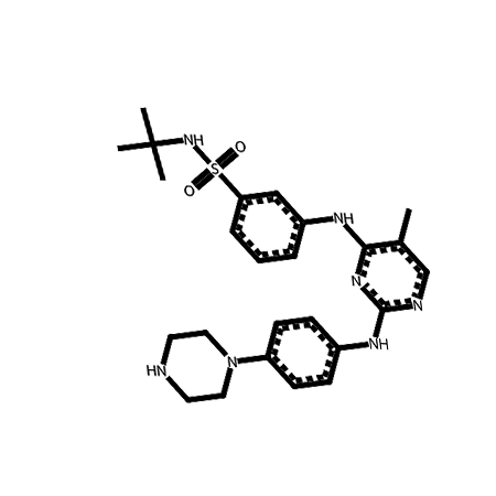 Cc1cnc(Nc2ccc(N3CCNCC3)cc2)nc1Nc1cccc(S(=O)(=O)NC(C)(C)C)c1